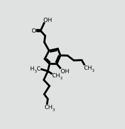 CCCCCC(C)(C)c1cc(CCC(=O)O)cc(CCCC)c1O